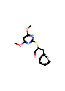 COc1cc(OC)nc(SC(C=O)Cc2ccccc2)n1